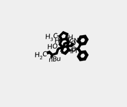 C=CC(CCCC)CC(O)C12C[C@@H]3[C@H](C)CC[C@H]3C3(C#N)CC1C=C(C(C)C)C23C(=O)OC(c1ccccc1)c1ccccc1